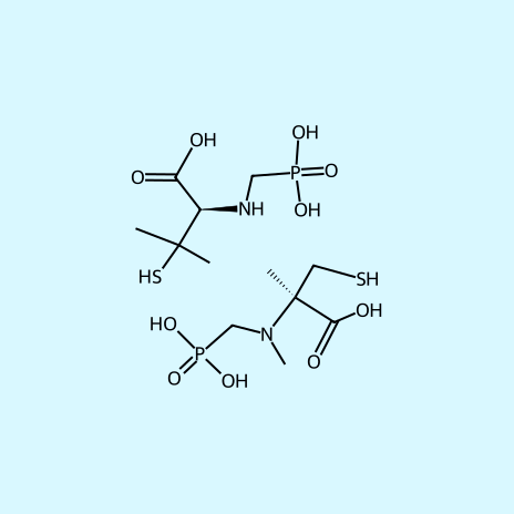 CC(C)(S)[C@H](NCP(=O)(O)O)C(=O)O.CN(CP(=O)(O)O)[C@@](C)(CS)C(=O)O